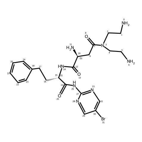 NCCN(CCN)C(=O)C[C@H](N)C(=O)N[C@@H](CCc1ccccc1)C(=O)Nc1ncc(Br)cn1